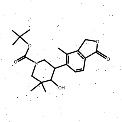 Cc1c(C2CN(C(=O)OC(C)(C)C)CC(C)(C)C2O)ccc2c1COC2=O